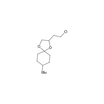 CC(C)(C)C1CCC2(CC1)OCC(CCCl)O2